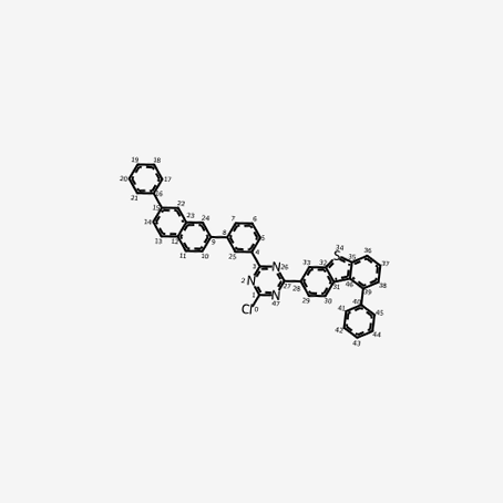 Clc1nc(-c2cccc(-c3ccc4ccc(-c5ccccc5)cc4c3)c2)nc(-c2ccc3c(c2)sc2cccc(-c4ccccc4)c23)n1